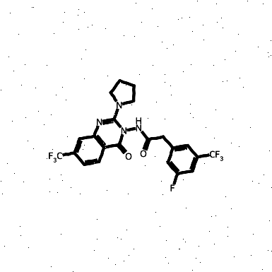 O=C(Cc1cc(F)cc(C(F)(F)F)c1)Nn1c(N2CCCC2)nc2cc(C(F)(F)F)ccc2c1=O